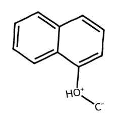 [CH2-][OH+]c1cccc2ccccc12